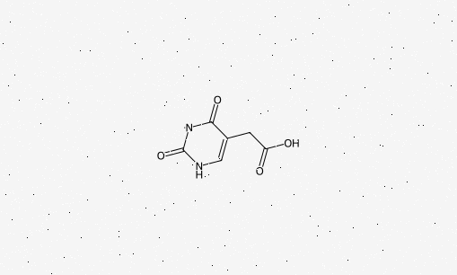 O=C(O)CC1=CNC(=O)[N]C1=O